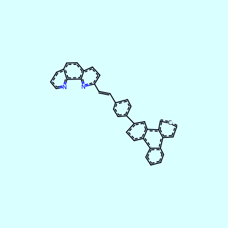 C(=C\c1ccc2ccc3cccnc3c2n1)/c1ccc(-c2ccc3c4ccccc4c4ccccc4c3c2)cc1